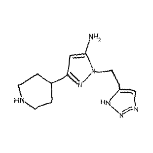 Nc1cc(C2CCNCC2)nn1Cc1cnn[nH]1